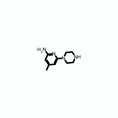 Cc1cc(N)nc(N2CCNCC2)c1